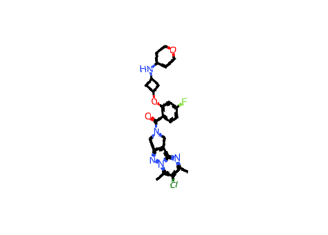 Cc1nc2c3c(nn2c(C)c1Cl)CN(C(=O)c1ccc(F)cc1OC1CC(NC2CCOCC2)C1)C3